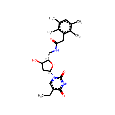 CCc1cn([C@@H]2CC(O)[C@H](CNC(=O)Cc3c(C)c(C)cc(C)c3C)O2)c(=O)[nH]c1=O